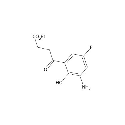 CCOC(=O)CCC(=O)c1cc(F)cc(N)c1O